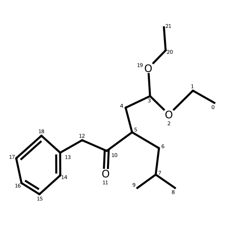 CCOC(CC(CC(C)C)C(=O)Cc1ccccc1)OCC